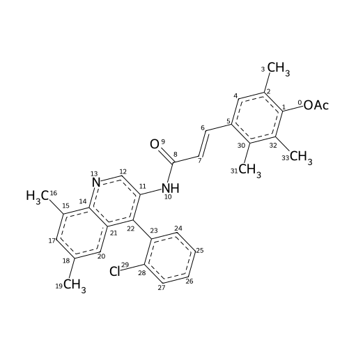 CC(=O)Oc1c(C)cc(C=CC(=O)Nc2cnc3c(C)cc(C)cc3c2-c2ccccc2Cl)c(C)c1C